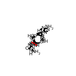 CO[C@H]1[C@H]2OP(=O)(O)OCC34C[C@@H]3[C@@H](n3cnc5c(N)ncnc53)[C@H](C)[C@@H]4O[P@@](=O)(S)OC[C@H]1O[C@H]2n1nnc2c(=O)[nH]c(N)nc21